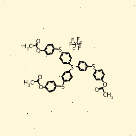 CC(=O)Oc1ccc(Sc2ccc([S+](c3ccc(Sc4ccc(OC(C)=O)cc4)cc3)c3ccc(Sc4ccc(OC(C)=O)cc4)cc3)cc2)cc1.F[P-](F)(F)(F)(F)F